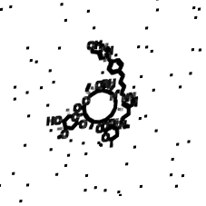 CC[C@H]1OC(=O)[C@H](C)[C@@H](O[C@H]2C[C@@](C)(OC)[C@@H](O)[C@H](C)O2)[C@H](C)[C@@H](O[C@@H]2O[C@H](C)C[C@H](N(C)CCc3cn(CCCCc4ccc(-n5cc(CO)nn5)cc4)nn3)[C@H]2O)[C@](C)(O)C[C@@H](C)CN(C)[C@H](C)[C@@H](O)[C@]1(C)O